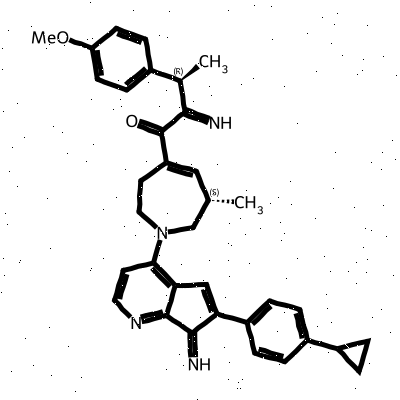 COc1ccc([C@@H](C)C(=N)C(=O)C2=C[C@H](C)CN(c3ccnc4c3C=C(c3ccc(C5CC5)cc3)C4=N)CC2)cc1